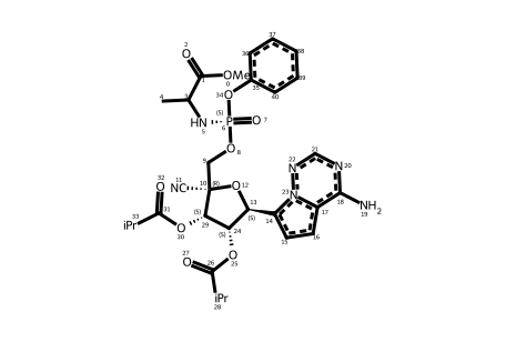 COC(=O)C(C)N[P@](=O)(OC[C@@]1(C#N)O[C@@H](c2ccc3c(N)ncnn23)[C@H](OC(=O)C(C)C)[C@@H]1OC(=O)C(C)C)Oc1ccccc1